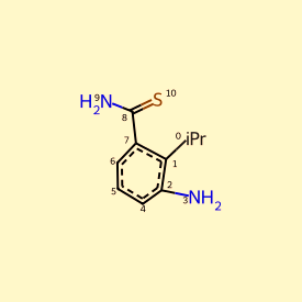 CC(C)c1c(N)cccc1C(N)=S